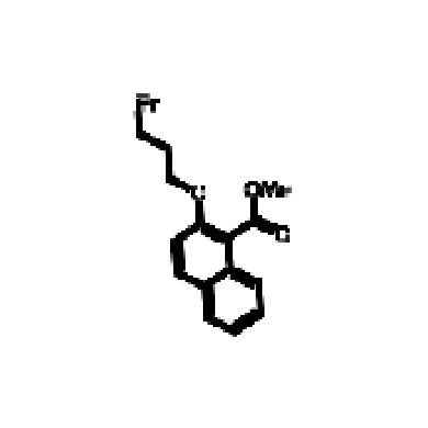 COC(=O)c1c(OCCCC(C)C)ccc2ccccc12